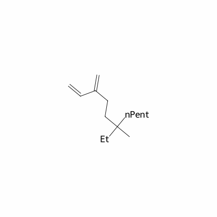 C=CC(=C)CCC(C)(CC)CCCCC